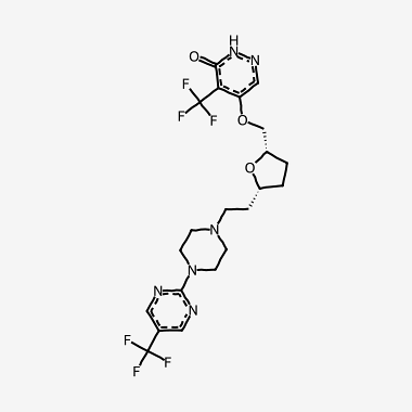 O=c1[nH]ncc(OC[C@@H]2CC[C@H](CCN3CCN(c4ncc(C(F)(F)F)cn4)CC3)O2)c1C(F)(F)F